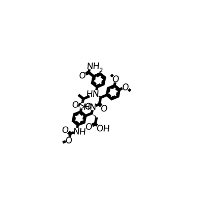 COC(=O)Nc1ccc(S(=O)(=O)C(C)C)c([C@@H](CC(=O)O)NC(=O)[C@H](Nc2cccc(C(N)=O)c2)c2ccc(OC)c(OC)c2)c1